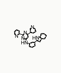 c1ccc(-c2nc(Nc3cccc(-c4cc5ccccc5[nH]4)c3)cc(-c3cccnc3)n2)nc1